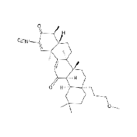 [C-]#[N+]C1=C[C@]2(C)C3=CC(=O)[C@@H]4[C@@H]5CC(C)(C)CC[C@]5(CCCOC)CC[C@@]4(C)[C@]3(C)CC[C@H]2[C@H](C)C1=O